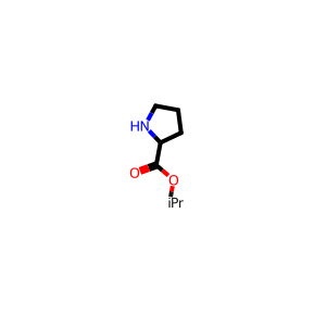 CC(C)OC(=O)C1CCCN1